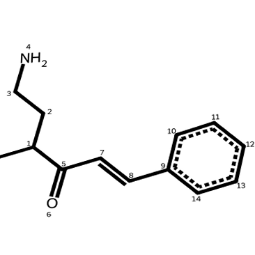 CC(CCN)C(=O)C=Cc1ccccc1